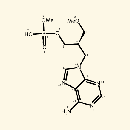 COC[C@H](COP(=O)(O)OC)Cn1cnc2c(N)ncnc21